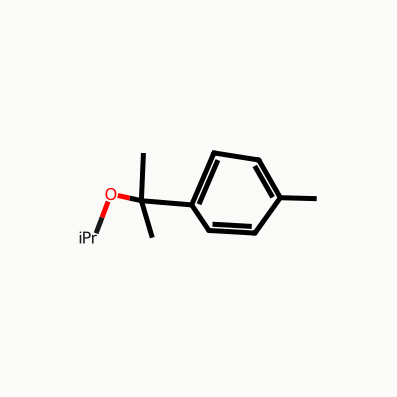 Cc1ccc(C(C)(C)OC(C)C)cc1